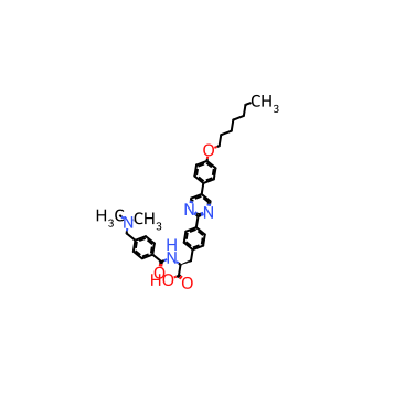 CCCCCCCOc1ccc(-c2cnc(-c3ccc(C[C@H](NC(=O)c4ccc(CN(C)C)cc4)C(=O)O)cc3)nc2)cc1